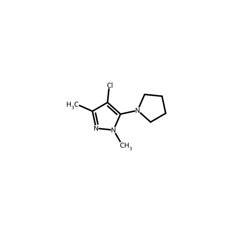 Cc1nn(C)c(N2CCCC2)c1Cl